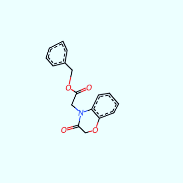 O=C(CN1C(=O)COc2ccccc21)OCc1ccccc1